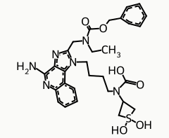 CCN(Cc1nc2c(N)nc3ccccc3c2n1CCCCN(C(=O)O)C1CS(O)(O)C1)C(=O)OCc1ccccc1